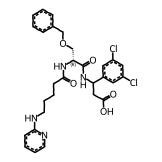 O=C(O)CC(NC(=O)[C@@H](COCc1ccccc1)NC(=O)CCCCNc1ccccn1)c1cc(Cl)cc(Cl)c1